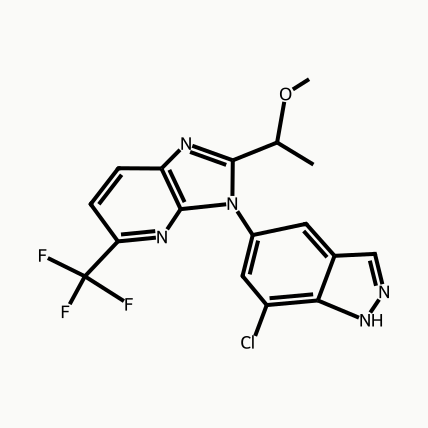 COC(C)c1nc2ccc(C(F)(F)F)nc2n1-c1cc(Cl)c2[nH]ncc2c1